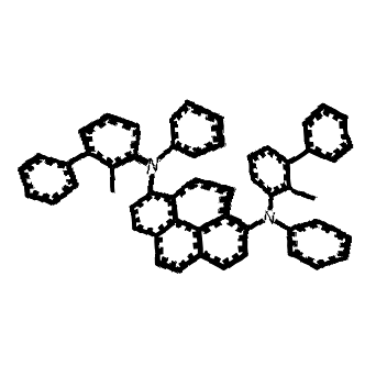 Cc1c(-c2ccccc2)cccc1N(c1ccccc1)c1ccc2ccc3ccc(N(c4ccccc4)c4cccc(-c5ccccc5)c4C)c4ccc1c2c34